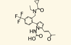 CCN(Cc1cc(C(F)(F)F)ccc1-c1ccc(/C=C/C(C)=O)n1NC(=O)O)C(=O)C1CC1